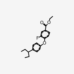 CCOC(=O)c1ccc(Oc2ccc(C(CC)CC)cc2)c(F)c1